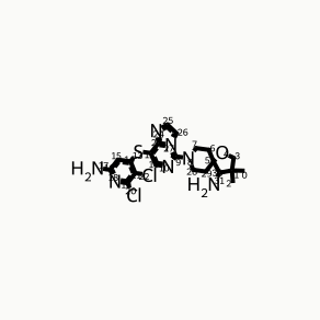 CC1(C)COC2(CCN(c3ncc(Sc4cc(N)nc(Cl)c4Cl)c4nccn34)CC2)C1N